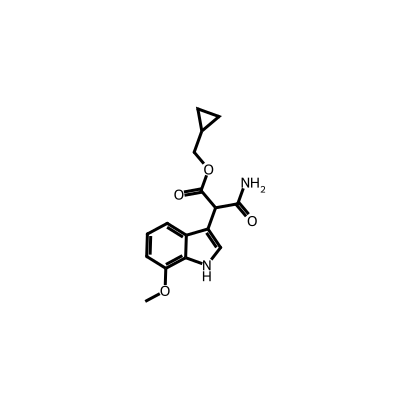 COc1cccc2c(C(C(N)=O)C(=O)OCC3CC3)c[nH]c12